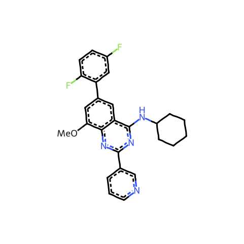 COc1cc(-c2cc(F)ccc2F)cc2c(NC3CCCCC3)nc(-c3cccnc3)nc12